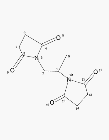 CC(CN1C(=O)CCC1=O)N1C(=O)CCC1=O